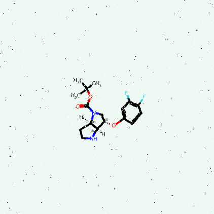 CC(C)(C)OC(=O)N1C[C@H](Oc2ccc(F)c(F)c2)[C@H]2NCC[C@H]21